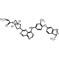 C=CC(=O)N1C[C@H]2CN(c3ncc4ncnc(Nc5ccc(Oc6ccc7c(c6)nnn7C)c(C)c5)c4n3)C[C@H]21